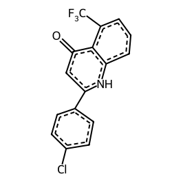 O=c1cc(-c2ccc(Cl)cc2)[nH]c2cccc(C(F)(F)F)c12